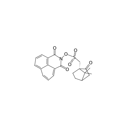 CC1(C)C2CC[C@@]1(CS(=O)(=O)ON1C(=O)c3cccc4cccc(c34)C1=O)C(=O)C2